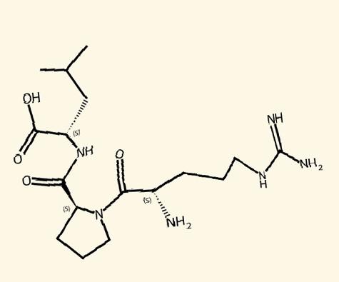 CC(C)C[C@H](NC(=O)[C@@H]1CCCN1C(=O)[C@@H](N)CCCNC(=N)N)C(=O)O